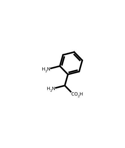 Nc1c[c]ccc1C(N)C(=O)O